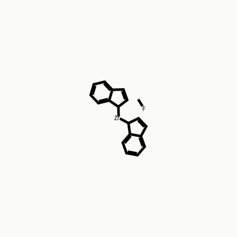 C1=C[CH]([Zr][CH]2C=Cc3ccccc32)c2ccccc21.CF